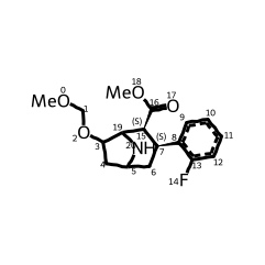 COCOC1CC2C[C@H](c3ccccc3F)[C@H](C(=O)OC)C1N2